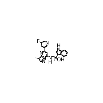 Cc1cnn2c(NC[C@](C)(O)c3c[nH]c4ccccc34)cc(-c3cncc(F)c3)nc12